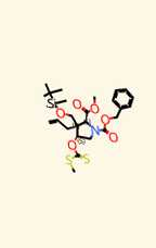 C=CC[C@]1(CO[Si](C)(C)C(C)(C)C)[C@H](OC(=S)SC)CN(C(=O)OCc2ccccc2)[C@@H]1C(=O)OC